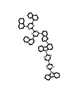 c1ccc2c(-c3cc(-c4cccc5ccccc45)nc(-c4nc(-c5cccc6ccccc56)cc(-c5cccc6cc(-c7cccc8c7c7ccccc7n8-c7ncc(-c8cnc(-n9c%10ccccc%10c%10ccccc%109)nc8)cn7)ccc56)n4)n3)cccc2c1